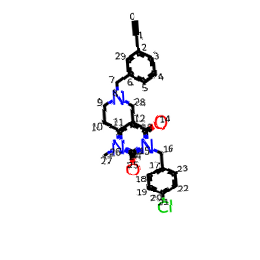 C#Cc1cccc(CN2CCc3c(c(=O)n(Cc4ccc(Cl)cc4)c(=O)n3C)C2)c1